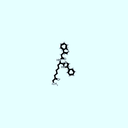 CCC(=O)CCCCCC(NC(=O)Cc1csc2ccccc12)c1ncc(-c2ccccc2)[nH]1